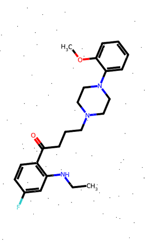 CCNc1cc(F)ccc1C(=O)CCCN1CCN(c2ccccc2OC)CC1